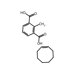 C1=CCCCCCC1.Cc1c(C(=O)O)cccc1C(=O)O